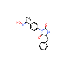 CC(=NO)c1ccc(N2C(=O)NC(Cc3ccccc3)C2=O)cc1